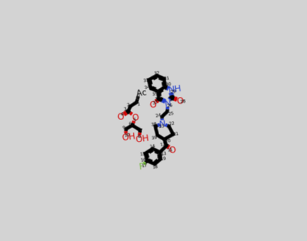 CC(=O)CCC(=O)OC(CO)CO.O=C(c1ccc(F)cc1)C1CCN(CCn2c(=O)[nH]c3ccccc3c2=O)CC1